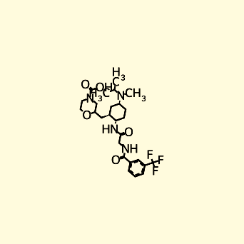 CC(C)N(C)[C@@H]1CC[C@H](NC(=O)CNC(=O)c2cccc(C(F)(F)F)c2)[C@@H](CC2CN(C(=O)O)CCO2)C1